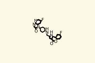 O=c1oc2ccc(F)cc2c2[nH]c(CN[C@H]3CC[C@@H](n4c(=O)cnc5ncc(F)cc54)CC3)cc12